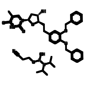 CC(C)N(C(C)C)P(O)OCCC#N.Cc1cn([C@H]2C[C@H](S)[C@@H](CCc3ccc(OCc4ccccc4)c(OCc4ccccc4)c3)O2)c(=O)[nH]c1=O